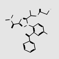 CC(NC(=O)CN)c1nc(C(=O)N(C)C)nn1-c1ccc(Cl)cc1C(=O)c1ccccc1